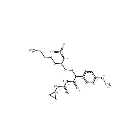 CCCCCC(CCC(C(=O)NC(=S)NC1CC1)c1ccc(OC)cc1)N=S(=O)=O